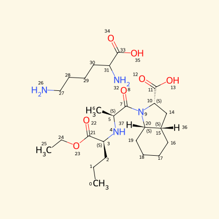 CCC[C@H](N[C@@H](C)C(=O)N1[C@H](C(=O)O)C[C@@H]2CCCC[C@@H]21)C(=O)OCC.NCCCCC(N)C(=O)O